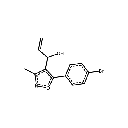 C=CC(O)c1c(C)noc1-c1ccc(Br)cc1